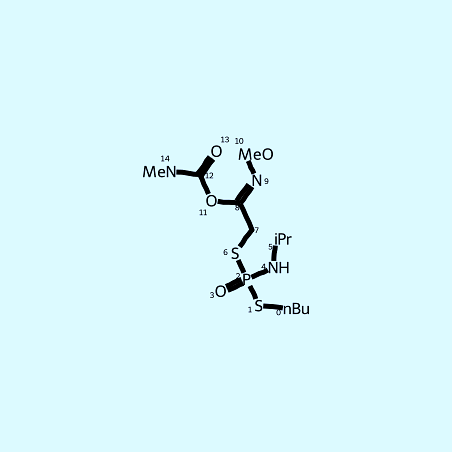 CCCCSP(=O)(NC(C)C)SCC(=NOC)OC(=O)NC